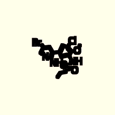 CCCS(=O)(=O)Nc1cc(-c2cc(Br)cnc2N)cc(Cl)c1OC